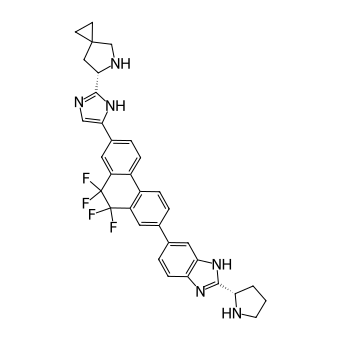 FC1(F)c2cc(-c3ccc4nc([C@@H]5CCCN5)[nH]c4c3)ccc2-c2ccc(-c3cnc([C@@H]4CC5(CC5)CN4)[nH]3)cc2C1(F)F